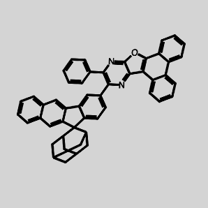 c1ccc(-c2nc3oc4c5ccccc5c5ccccc5c4c3nc2-c2ccc3c(c2)-c2cc4ccccc4cc2C32C3CC4CC(C3)CC2C4)cc1